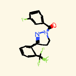 O=C(c1cccc(F)c1)N1CCC(c2ccccc2C(F)(F)F)=N1